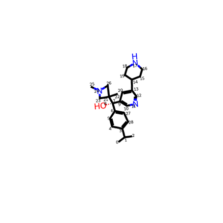 CC(C)c1ccc([C@](O)(c2cncc(C3CCNCC3)c2)C2(C)CN(C)C2)cc1